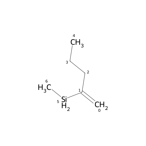 C=C(CCC)[SiH2]C